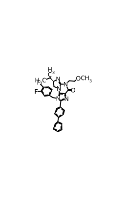 COCCN1C(=O)c2nc(-c3ccc(-c4ccccc4)cc3)n(Cc3ccc(F)c(F)c3)c2N2C[C@@H](C(C)C)N=C12